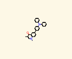 Cc1cn(C)c2ccc(-c3ccc(N(c4ccccc4)c4ccccc4)cc3)cc2c1=O